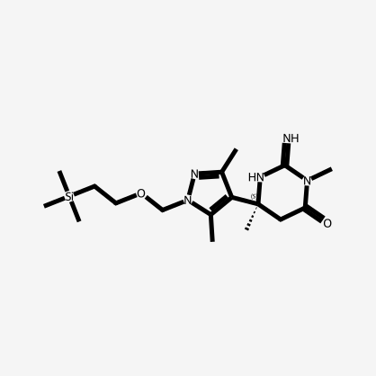 Cc1nn(COCC[Si](C)(C)C)c(C)c1[C@]1(C)CC(=O)N(C)C(=N)N1